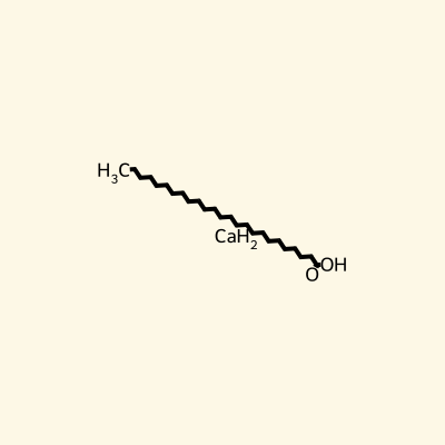 CCCCCCCCCCCCCCCCCCCCCCCCC(=O)O.[CaH2]